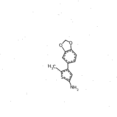 Cc1sc(N)cc1-c1ccc2c(c1)OCO2